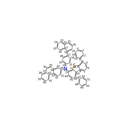 c1ccc(-c2cccc3c2sc2c(N(c4ccc(-c5cccc6ccccc56)cc4)c4ccc5c(ccc6ccccc65)c4)ccc(-c4ccccc4)c23)cc1